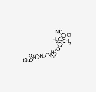 CC(C)(C)OC(=O)N1CCC(N2CC3CN(c4nccc(COc5ccc(C(C)(C)c6cc(Cl)cc(C#N)c6)cc5)n4)CC3C2)CC1